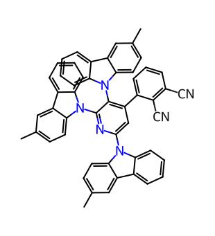 Cc1ccc2c(c1)c1ccccc1n2-c1cc(-c2cccc(C#N)c2C#N)c(-n2c3ccccc3c3cc(C)ccc32)c(-n2c3ccccc3c3cc(C)ccc32)n1